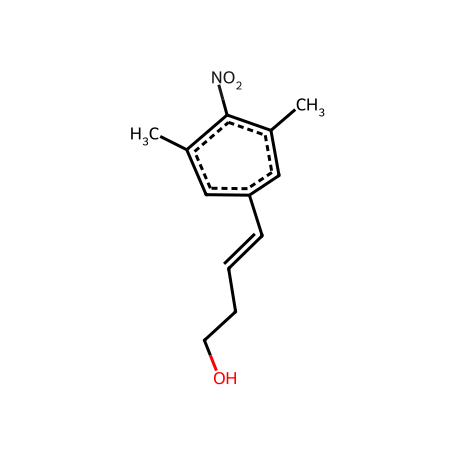 Cc1cc(C=CCCO)cc(C)c1[N+](=O)[O-]